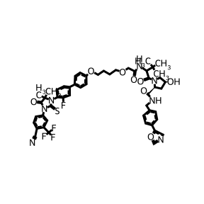 CC(C)(C)C(NC(=O)COCCCCOc1ccc(-c2ccc(N3C(=S)N(c4ccc(C#N)c(C(F)(F)F)c4)C(=O)C3(C)C)c(F)c2)cc1)C(=O)N1C[C@H](O)C[C@H]1C(=O)NCc1ccc(-c2cnco2)cc1